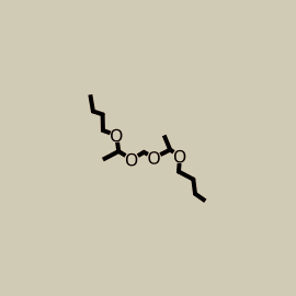 CCCCOC(C)OCOC(C)OCCCC